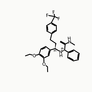 C=C(NC)[C@H](N[C@H](CCc1ccc(C(F)(F)F)cc1)c1ccc(OCC)c(OCC)c1)c1ccccc1